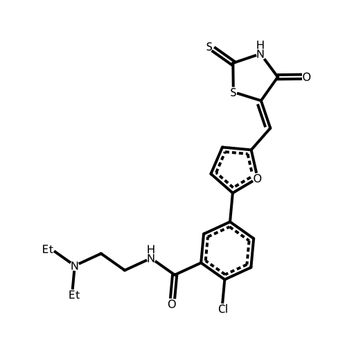 CCN(CC)CCNC(=O)c1cc(-c2ccc(/C=C3\SC(=S)NC3=O)o2)ccc1Cl